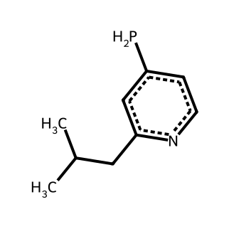 CC(C)Cc1cc(P)ccn1